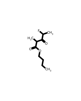 CCCCOC(=O)C(C)C(=O)C(C)F